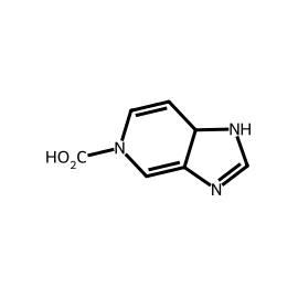 O=C(O)N1C=CC2NC=NC2=C1